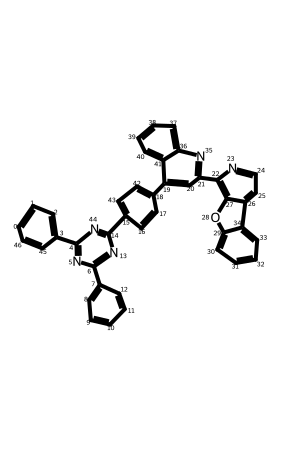 c1ccc(-c2nc(-c3ccccc3)nc(-c3ccc(-c4cc(-c5nccc6c5oc5ccccc56)nc5ccccc45)cc3)n2)cc1